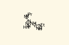 CCN/C=C1/SC(CNc2nc(-c3cnn(C(C)C)c3)cnc2N=N)=CC1=N